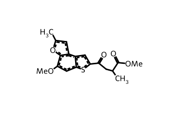 COC(=O)C(C)CC(=O)c1cc2c(cc(OC)c3oc(C)cc32)s1